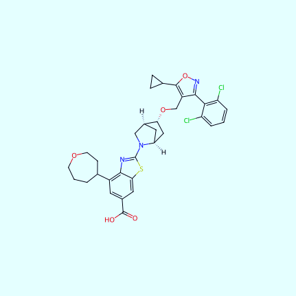 O=C(O)c1cc(C2CCCOCC2)c2nc(N3C[C@@H]4C[C@H]3C[C@H]4OCc3c(-c4c(Cl)cccc4Cl)noc3C3CC3)sc2c1